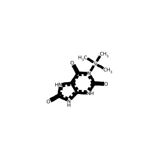 C[Si](C)(C)n1c(=O)[nH]c2[nH]c(=O)[nH]c2c1=O